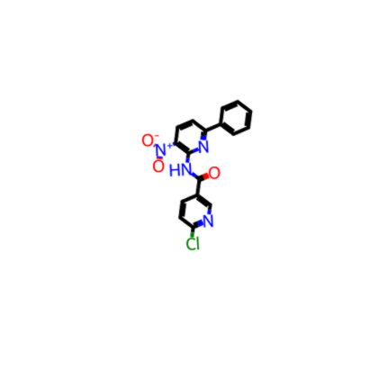 O=C(Nc1nc(-c2ccccc2)ccc1[N+](=O)[O-])c1ccc(Cl)nc1